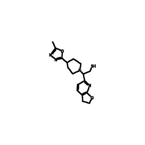 Cc1nnc(C2CCN(C(CS)c3ccc4c(n3)OCC4)CC2)o1